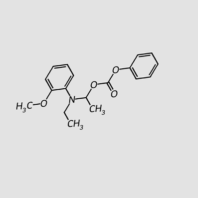 CCN(c1ccccc1OC)C(C)OC(=O)Oc1ccccc1